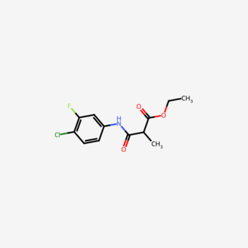 CCOC(=O)C(C)C(=O)Nc1ccc(Cl)c(F)c1